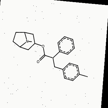 Cc1ccc(CC(C(=O)OC2CC3CCC(C2)N3C)c2ccccc2)cc1